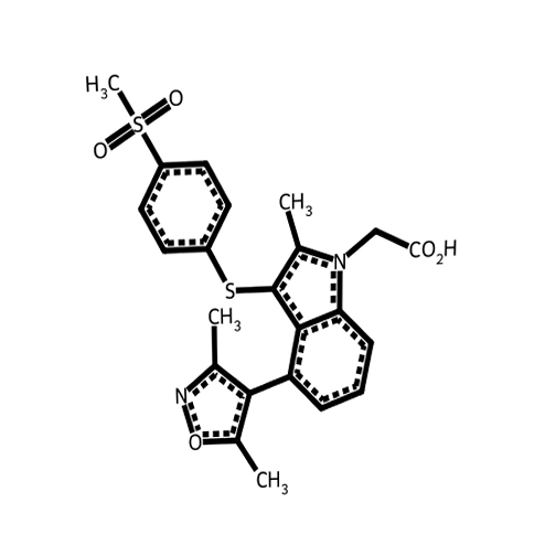 Cc1noc(C)c1-c1cccc2c1c(Sc1ccc(S(C)(=O)=O)cc1)c(C)n2CC(=O)O